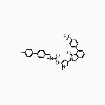 Cc1ccc(-c2ccc(CNC(=O)Oc3cc(N4Cc5cccc(-c6ccc(C(F)(F)F)cc6)c5C4=O)cn3C)cc2)cc1